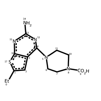 CCc1cc2c(N3CCN(C(=O)O)CC3)nc(N)nc2s1